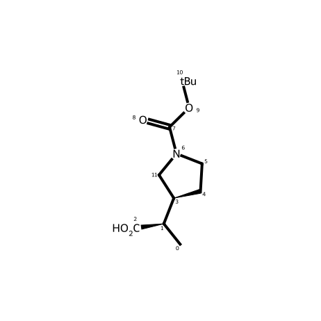 C[C@@H](C(=O)O)[C@@H]1CCN(C(=O)OC(C)(C)C)C1